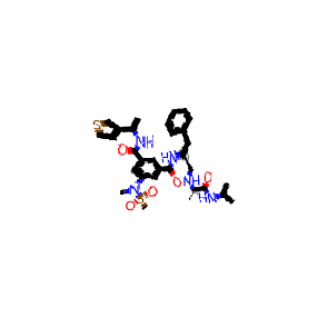 CC(C)NC(=O)[C@H](C)NC[C@H](Cc1ccccc1)NC(=O)c1cc(C(=O)NC(C)c2ccsc2)cc(N(C)S(C)(=O)=O)c1